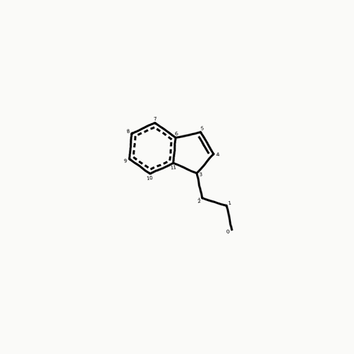 CC[CH]C1C=Cc2ccccc21